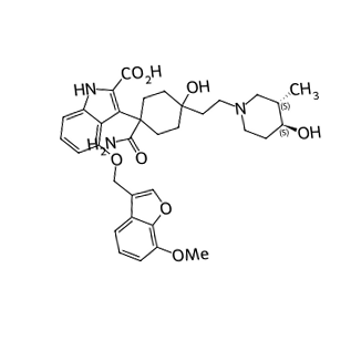 COc1cccc2c(COc3cccc4[nH]c(C(=O)O)c(C5(C(N)=O)CCC(O)(CCN6CC[C@H](O)[C@@H](C)C6)CC5)c34)coc12